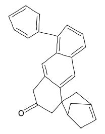 O=C1Cc2cc3c(-c4ccccc4)cccc3cc2C2(C1)CC1=CCC2C1